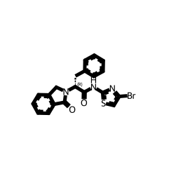 O=C(Nc1nc(Br)cs1)[C@@H](Cc1ccccc1)N1Cc2ccccc2C1=O